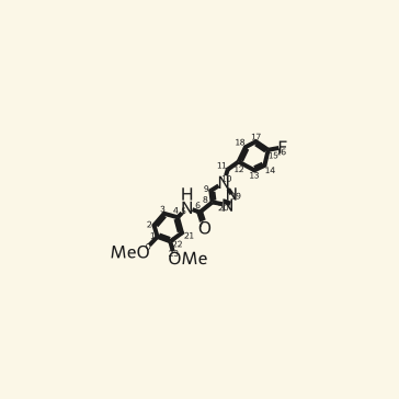 COc1ccc(NC(=O)c2cn(Cc3ccc(F)cc3)nn2)cc1OC